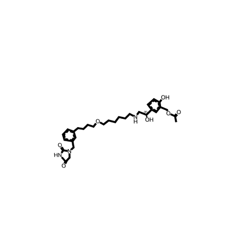 CC(=O)OCc1cc([C@@H](O)CNCCCCCCOCCCCc2cccc(CN3CC(=O)NC3=O)c2)ccc1O